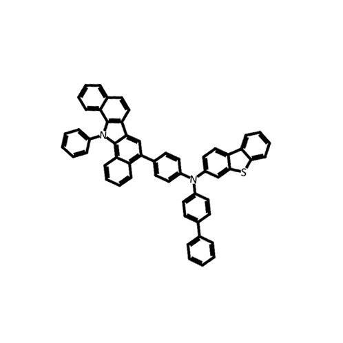 c1ccc(-c2ccc(N(c3ccc(-c4cc5c6ccc7ccccc7c6n(-c6ccccc6)c5c5ccccc45)cc3)c3ccc4c(c3)sc3ccccc34)cc2)cc1